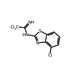 N=C(Nc1nc2c(Cl)cccc2s1)C(Cl)(Cl)Cl